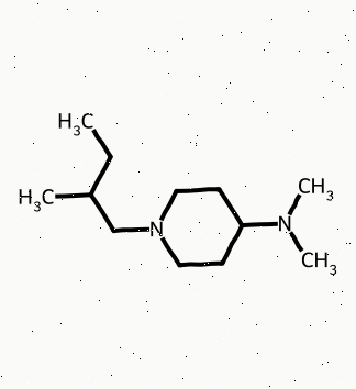 CCC(C)CN1CCC(N(C)C)CC1